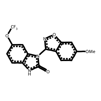 COc1ccc2c(-n3c(=O)[nH]c4ccc(OC(F)(F)F)cc43)noc2c1